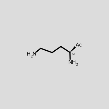 CC(=O)[C@@H](N)CCCN